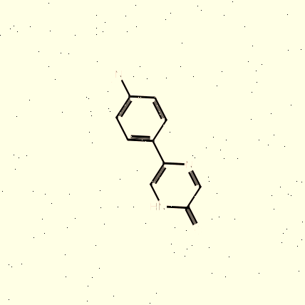 Nc1ccc(-c2c[nH]c(=O)cn2)cc1